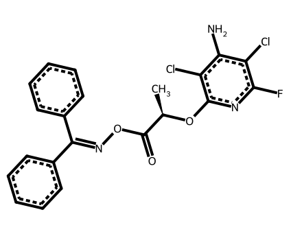 C[C@@H](Oc1nc(F)c(Cl)c(N)c1Cl)C(=O)ON=C(c1ccccc1)c1ccccc1